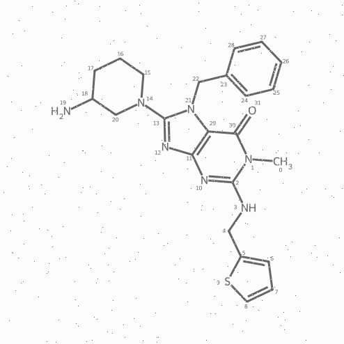 Cn1c(NCc2cccs2)nc2nc(N3CCCC(N)C3)n(Cc3ccccc3)c2c1=O